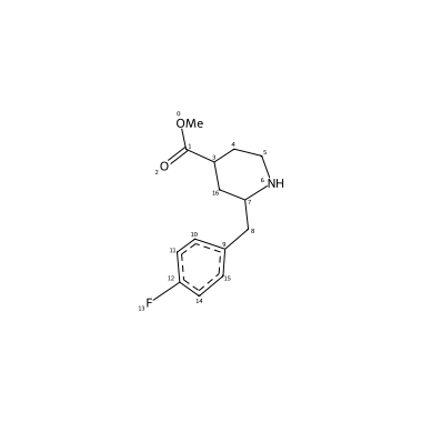 COC(=O)C1CCNC(Cc2ccc(F)cc2)C1